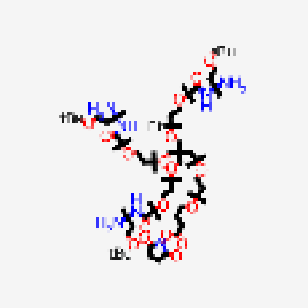 CCC(C)(CCOC(C)(C)C(=O)NC(C)(N)CCOC(C)(C)C)OCC(COC(C)(C)CCOC(C)(C)C(=O)NC(C)(N)CCOC(C)(C)C)(COC(C)(C)CCOC(C)(C)C(=O)NC(C)(N)CCOC(C)(C)C)CC(C)(C)OCCC(C)(C)OCCCC(=O)ON1C(=O)CCC1=O